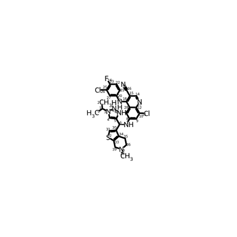 CC(C)N1C=C([C@@H](Nc2cc(Cl)c3ncc(C#N)c(Nc4ccc(F)c(Cl)c4)c3c2)c2csc3c2CCN(C)C3)NN1